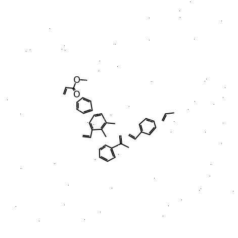 C=C(C)c1ccccc1.C=CC.C=CC(=O)OC.C=Cc1cccc(C)c1C.C=Cc1ccccc1.c1ccccc1